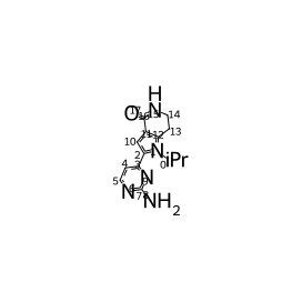 CC(C)n1c(-c2ccnc(N)n2)cc2c1CCNC2=O